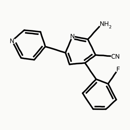 N#Cc1c(-c2ccccc2F)cc(-c2ccncc2)nc1N